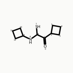 O=C(C1CCC1)C(S)NC1CCC1